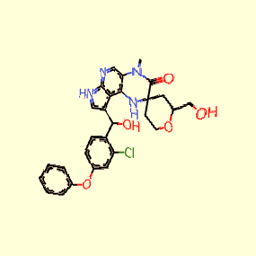 CN1C(=O)C2(CCOC(CO)C2)Nc2c1cnc1[nH]cc(C(O)c3ccc(Oc4ccccc4)cc3Cl)c21